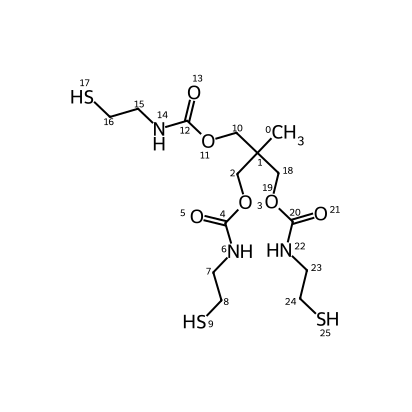 CC(COC(=O)NCCS)(COC(=O)NCCS)COC(=O)NCCS